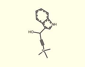 C[Si](C)(C)C#CC(O)c1c[nH]c2ccccc12